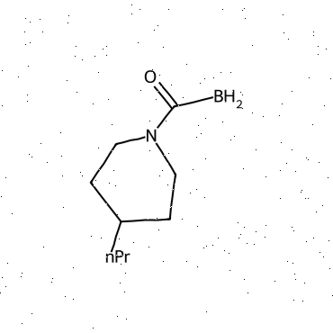 BC(=O)N1CCC(CCC)CC1